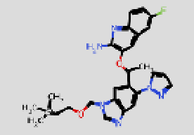 CC(Oc1cc2cc(F)ccc2nc1N)c1cc2c(cc1-n1cccn1)ncn2COCC[Si](C)(C)C